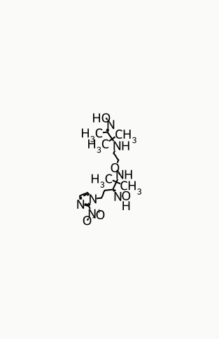 CC(=NO)C(C)(C)NCCONC(C)(C)C(CCn1ccnc1[N+](=O)[O-])=NO